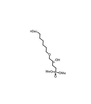 CCCCCCCCCCCCCCCCOC[C@H](O)CCP(=O)(OC)OC